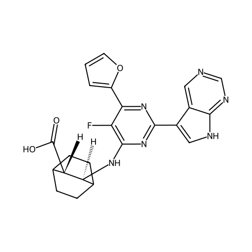 O=C(O)[C@H]1C2CCC(CC2)[C@@H]1Nc1nc(-c2c[nH]c3ncncc23)nc(-c2ccco2)c1F